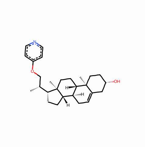 C[C@H](COc1ccncc1)[C@H]1CC[C@H]2[C@@H]3CC=C4C[C@@H](O)CC[C@]4(C)[C@H]3CC[C@]12C